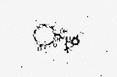 CC(C)c1ccc2c(c1)C(NC[C@@H](O)[C@@H]1C[C@H](C)CCCCCCCCC(=O)N(C)[C@@H](C)C(=O)N1)CC(C)(C)O2